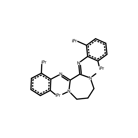 CC(C)c1cccc(C(C)C)c1N=C1C(=Nc2c(C(C)C)cccc2C(C)C)N(C)CCCN1C